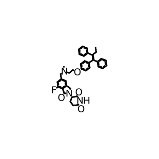 CC/C(=C(\c1ccccc1)c1ccc(OCCN(C)Cc2cc(F)c3c(c2)CN(C2CCC(=O)NC2=O)C3=O)cc1)c1ccccc1